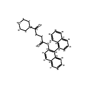 O=C(CCC(=O)N1CCOCC1)Oc1ccc2ccccc2c1-c1[c]ccc2ccccc12